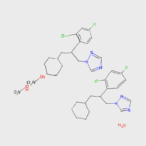 Clc1ccc(C(CC2CCCCC2)Cn2cncn2)c(Cl)c1.Clc1ccc(C(CC2CCCCC2)Cn2cncn2)c(Cl)c1.O.O=[N+]([O-])O.O=[N+]([O-])O